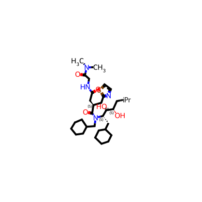 CC(C)C[C@H](O)[C@H](O)[C@H](CC1CCCCC1)N(CC1CCCCC1)C(=O)[C@@H](CC(=O)NCC(=O)N(C)C)Cc1nccs1